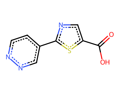 O=C(O)c1cnc(-c2ccnnc2)s1